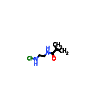 C=C(C)C(=O)NCCNCl